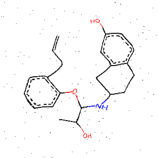 C=CCc1ccccc1OC(NC1CCc2ccc(O)cc2C1)C(C)O